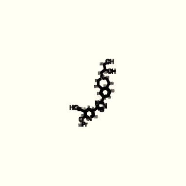 C#Cc1cc(-c2nc(-c3ccc4c(c3)CCN(C[C@H](O)CO)CC4)no2)cnc1OC(C)C